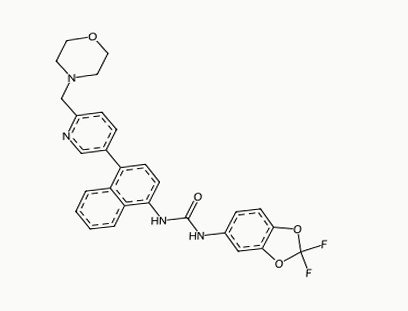 O=C(Nc1ccc2c(c1)OC(F)(F)O2)Nc1ccc(-c2ccc(CN3CCOCC3)nc2)c2ccccc12